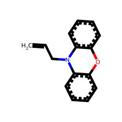 C=CCN1c2ccccc2Oc2ccccc21